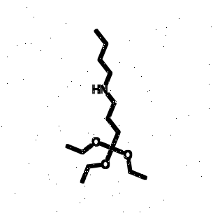 CCCCNCCCC(OCC)(OCC)OCC